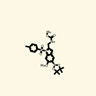 COc1cc2c(cc1B1OC(C)(C)C(C)(C)O1)cc(CNC(=O)OC(C)(C)C)n2S(=O)(=O)c1ccc(C)cc1